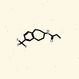 CCC(=O)NC1CCc2ccc(C(F)(F)F)cc2CC1